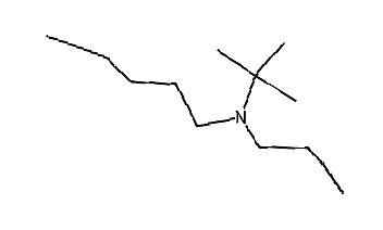 CCCCCN(CCC)C(C)(C)C